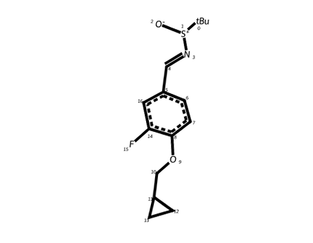 CC(C)(C)[S+]([O-])N=Cc1ccc(OCC2CC2)c(F)c1